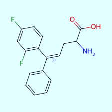 NC(C/C=C(/c1ccccc1)c1ccc(F)cc1F)C(=O)O